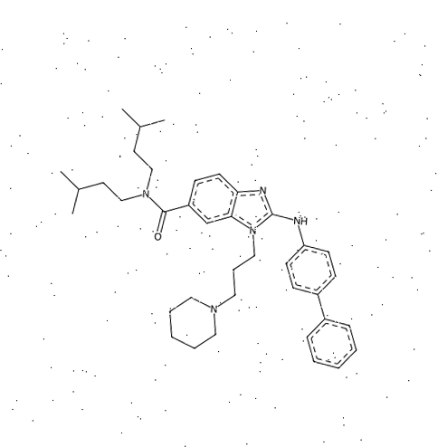 CC(C)CCN(CCC(C)C)C(=O)c1ccc2nc(Nc3ccc(-c4ccccc4)cc3)n(CCCN3CCCCC3)c2c1